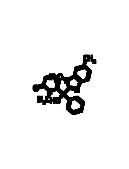 Cc1ccc2nc(C(O)(c3ccccc3)c3cccc(=O)n3C)n(C)c2c1